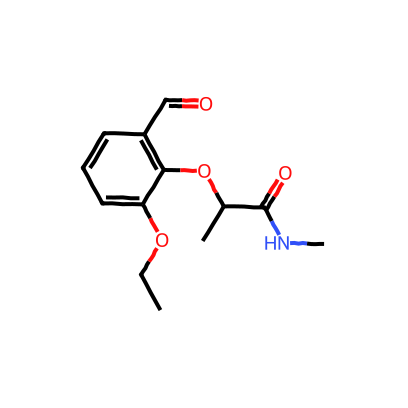 CCOc1cccc(C=O)c1OC(C)C(=O)NC